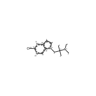 CN(C)C(C)(C)Cn1ccc2nc(Cl)ncc21